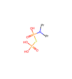 CC(C)N(C(C)C)P(=O)(O)SP(=O)(O)O